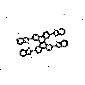 c1ccc2sc(-c3ccc4c5ccc(-c6cc7ccccc7s6)cc5c5c6cc(-c7cc8ccccc8s7)ccc6c6ccc(-c7cc8ccccc8s7)cc6c5c4c3)cc2c1